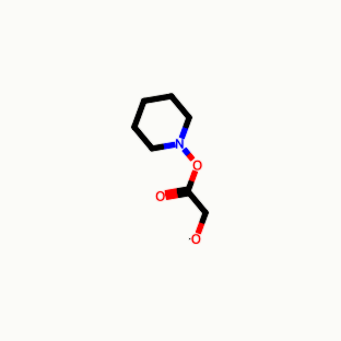 [O]CC(=O)ON1CCCCC1